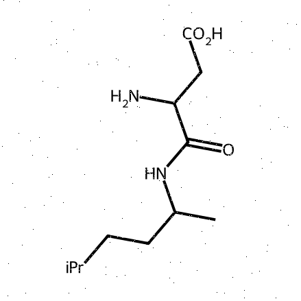 CC(C)CCC(C)NC(=O)C(N)CC(=O)O